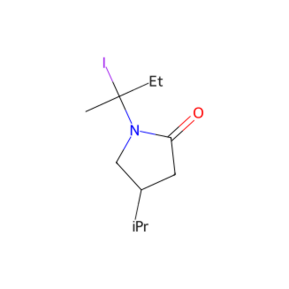 CCC(C)(I)N1CC(C(C)C)CC1=O